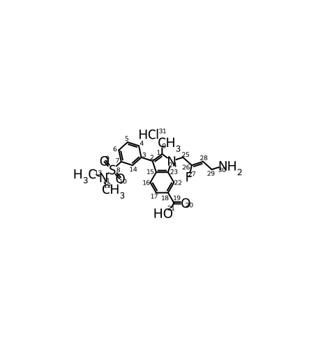 Cc1c(-c2cccc(S(=O)(=O)N(C)C)c2)c2ccc(C(=O)O)cc2n1C/C(F)=C/CN.Cl